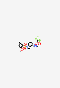 COc1ccc(C)cc1S(=O)(=O)n1ccc2c(CN(C)OC(=O)C(F)(F)F)cccc21